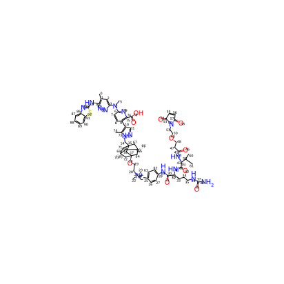 Cc1cc(N(C)c2ccc(-c3cnn(CC45CC6(OCC[N+](C)(C)Cc7ccc(NC(=O)[C@H](CCCNC(N)=O)NC(=O)[C@@H](NC(=O)CCOCCN8C(=O)C=CC8=O)C(C)C)cc7)C[C@](C)(C4)C[C@](C)(C5)C6)c3C)c(C(=O)O)n2)nnc1Nc1nc2ccccc2s1